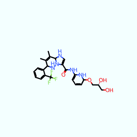 CC1=C(C)C2NC=C(C(=O)NC3=CC=CC(OC[C@H](O)CO)N3)N2NC1c1ccccc1C(F)(F)F